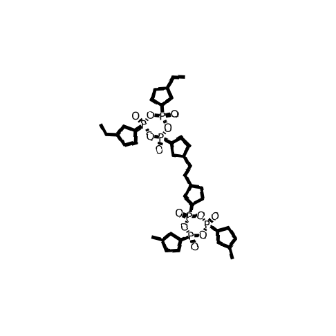 CCC1CCC(P2(=O)OP(=O)(C3CCC(CC)C3)OP(=O)(C3CCC(CCC4CCC(P5(=O)OP(=O)(C6CCC(C)C6)OP(=O)(C6CCC(C)C6)O5)C4)C3)O2)C1